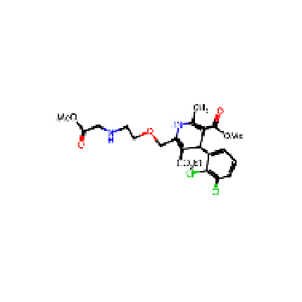 CCOC(=O)C1=C(COCCNCC(=O)OC)NC(C)=C(C(=O)OC)C1c1cccc(Cl)c1Cl